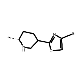 C[C@@H]1CCC(c2nc(Br)co2)CN1